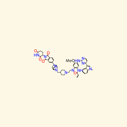 C=CC(=O)Nc1cc(Nc2nccc(-c3cn(C)c4ccccc34)n2)c(OC)cc1N(C)CCN1CCC(CN2CC3CCC2CN3c2ccc3c(c2)C(=O)N(C2CCC(=O)NC2=O)C3=O)CC1